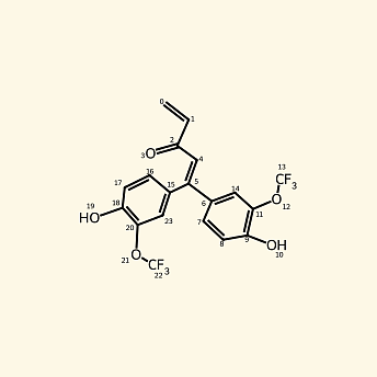 C=CC(=O)C=C(c1ccc(O)c(OC(F)(F)F)c1)c1ccc(O)c(OC(F)(F)F)c1